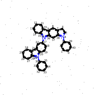 c1ccc(-n2ccc3cc4c5ccccc5n(-c5ccc6c(c5)c5ccccc5n6-c5ccccc5)c4cc32)cc1